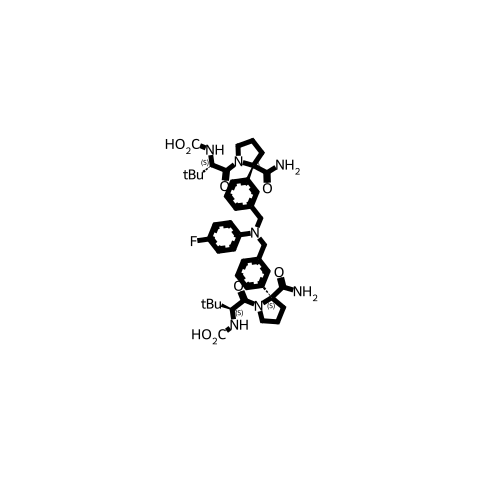 CC(C)(C)[C@H](NC(=O)O)C(=O)N1CCC[C@@]1(C(N)=O)c1cccc(CN(Cc2cccc([C@]3(C(N)=O)CCCN3C(=O)[C@@H](NC(=O)O)C(C)(C)C)c2)c2ccc(F)cc2)c1